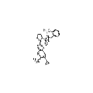 CC1=Nc2sc(N3CCCC3C(=O)NCc3ccccc3C)nc2CN1C1CC1